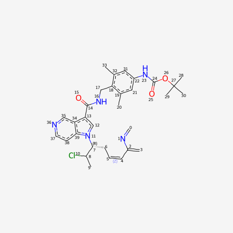 C=NC(=C)/C=C\C[C@H](C(C)Cl)n1cc(C(=O)NCc2c(C)cc(NC(=O)OC(C)(C)C)cc2C)c2cnccc21